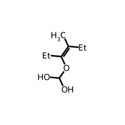 CCC(C)=C(CC)OC(O)O